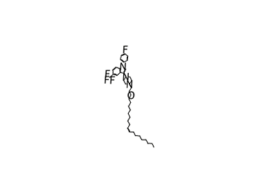 CCCCCCCC/C=C\CCCCCCCCOCCN1CCN(c2cn(-c3ccc(F)cc3)c3ccc(C(F)(F)F)cc23)CC1